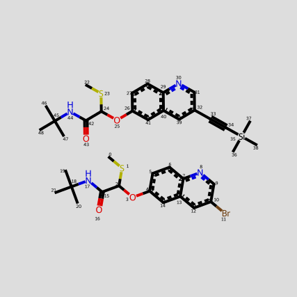 CSC(Oc1ccc2ncc(Br)cc2c1)C(=O)NC(C)(C)C.CSC(Oc1ccc2ncc(C#C[Si](C)(C)C)cc2c1)C(=O)NC(C)(C)C